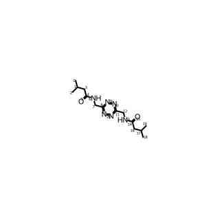 CC(C)CC(=O)NCc1nnc(CNC(=O)CC(C)C)nn1